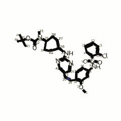 COc1cc(NS(=O)(=O)c2ccccc2Cl)ccc1/C=C\c1cnc(NC2CCC(N(C)C(=O)OC(C)(C)C)CC2)nc1